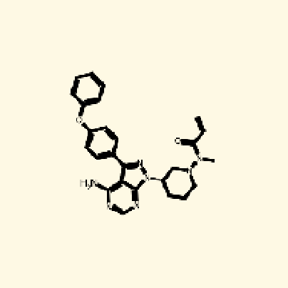 C=CC(=O)N(C)N1CCC[C@@H](n2nc(-c3ccc(Oc4ccccc4)cc3)c3c(N)ncnc32)C1